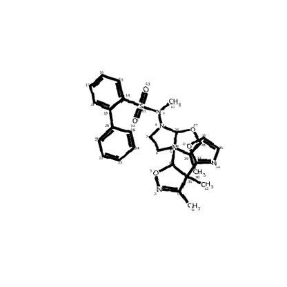 CC1=NOC([N+]23CCN(N(C)S(=O)(=O)c4ccccc4-c4ccccc4)C2OCC3C)C1(C)c1ncco1